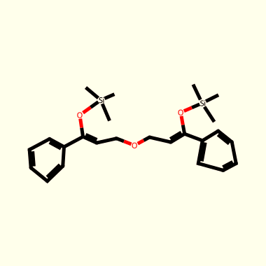 C[Si](C)(C)OC(=CCOCC=C(O[Si](C)(C)C)c1ccccc1)c1ccccc1